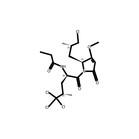 CCC(=O)N[C@H](C[C@H](C)C(Cl)(Cl)Cl)C(=O)N1C(=O)C=C(OC)[C@@H]1C[C@H](C)CCl